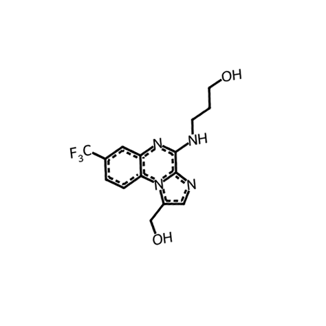 OCCCNc1nc2cc(C(F)(F)F)ccc2n2c(CO)cnc12